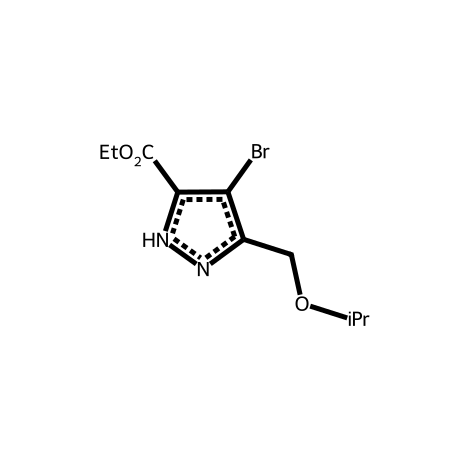 CCOC(=O)c1[nH]nc(COC(C)C)c1Br